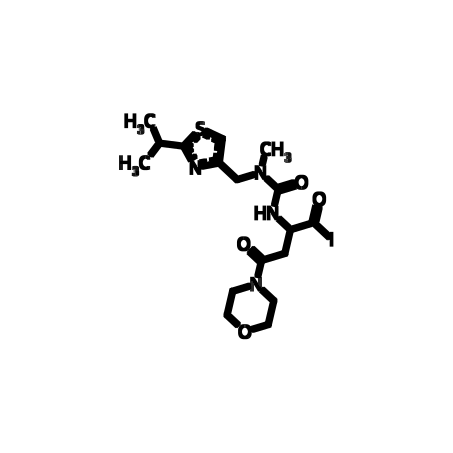 CC(C)c1nc(CN(C)C(=O)NC(CC(=O)N2CCOCC2)C(=O)I)cs1